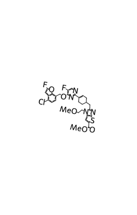 COCCn1c(CC2CC=C(c3ncc(F)c(OCc4ccc(Cl)c5cc(F)oc45)n3)CC2)nc2sc(C(=O)OC)cc21